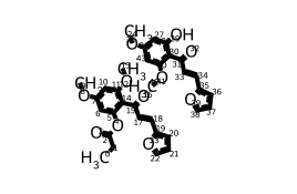 CCC(=O)Oc1cc(OC)cc(OC)c1C(=O)C=Cc1ccco1.COc1cc(O)c(C(=O)C=Cc2ccco2)c(OC)c1